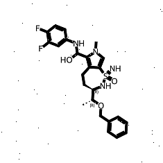 C[C@@H](OCc1ccccc1)[C@H]1CCc2c(cn(C)c2C(O)Nc2ccc(F)c(F)c2)S(=N)(=O)N1